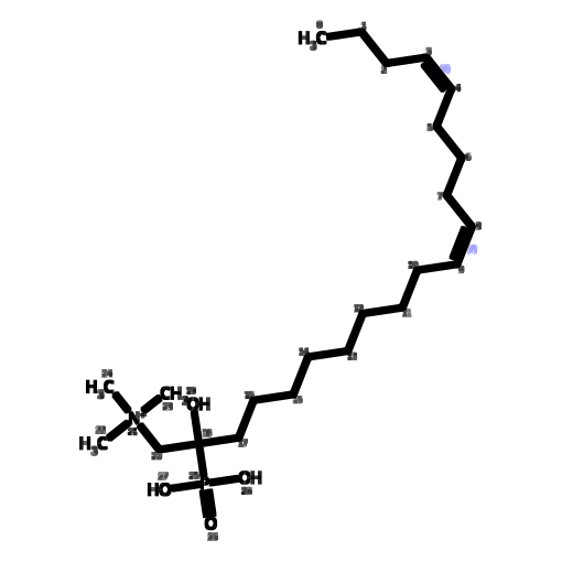 CCC/C=C\CCC/C=C\CCCCCCCCC(O)(C[N+](C)(C)C)P(=O)(O)O